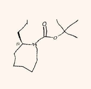 CC(C)(C)OC(=O)N1CCCC[C@H]1CI